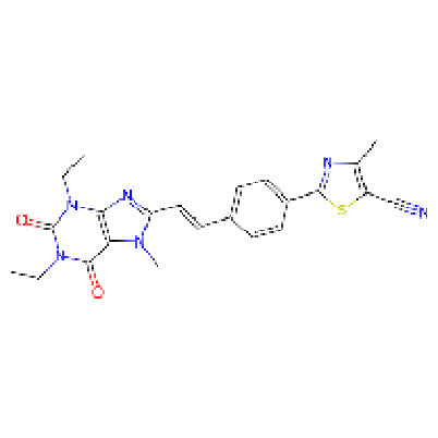 CCn1c(=O)c2c(nc(C=Cc3ccc(-c4nc(C)c(C#N)s4)cc3)n2C)n(CC)c1=O